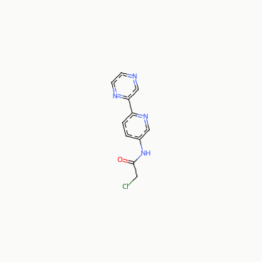 O=C(CCl)Nc1ccc(-c2cnccn2)nc1